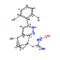 CC1(C)[C@H]2CC[C@]1(CC(=N)NO)c1nnc(-c3c(F)cccc3F)cc12